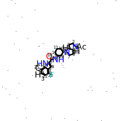 CC(=O)N1CC[C@@H]2[C@H]1CCN2[C@H]1CCC[C@@H](NC(=O)c2cc3c(F)ccc(C)c3[nH]2)C1